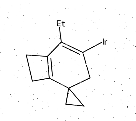 CCC1=[C]([Ir])CC2(CC2)C2=C1CC2